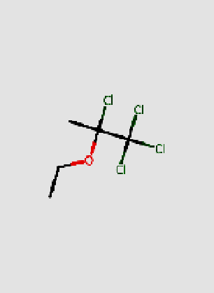 CCOC(C)(Cl)C(Cl)(Cl)Cl